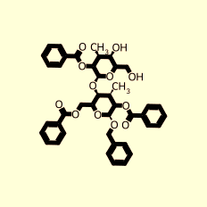 C[C@@H]1C(OC(=O)c2ccccc2)[C@H](OCc2ccccc2)OC(COC(=O)c2ccccc2)[C@H]1O[C@@H]1OC(CO)[C@H](O)[C@H](C)C1OC(=O)c1ccccc1